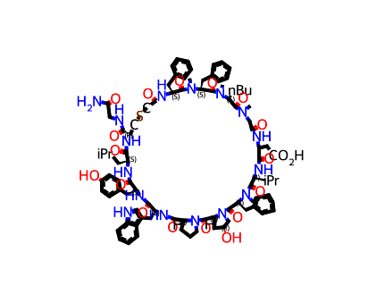 CCCC[C@H]1C(=O)N(C)CC(=O)NC(CC(=O)O)C(=O)N[C@@H](C(C)C)C(=O)N(C)[C@@H](Cc2ccccc2)C(=O)N2C[C@H](O)C[C@H]2C(=O)N2CCC[C@@H]2C(=O)N[C@@H](Cc2c[nH]c3ccccc23)C(=O)N[C@@H](Cc2ccc(O)cc2)C(=O)N[C@@H](CC(C)C)C(=O)N[C@H](C(=O)NCC(N)=O)CSCC(=O)N[C@@H](Cc2ccccc2)C(=O)N(C)[C@@H](Cc2ccccc2)C(=O)N1C